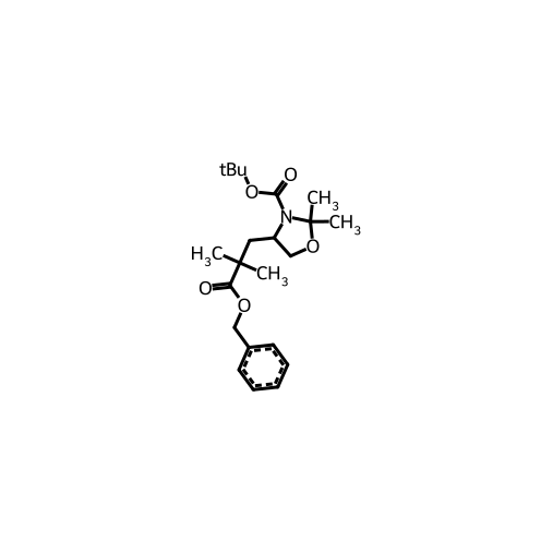 CC(C)(C)OC(=O)N1C(CC(C)(C)C(=O)OCc2ccccc2)COC1(C)C